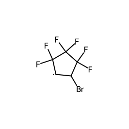 FC1(F)[CH]C(Br)C(F)(F)C1(F)F